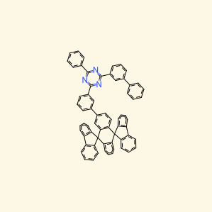 c1ccc(-c2cccc(-c3nc(-c4ccccc4)nc(-c4cccc(-c5ccc6c(c5)C5(c7ccccc7-c7ccccc75)c5ccccc5C65c6ccccc6-c6ccccc65)c4)n3)c2)cc1